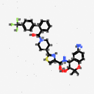 CC1(C)Oc2ccc(N)cc2C(NC(=O)c2csc(C3CCN(C(=O)c4ccccc4-c4ccc(C(F)(F)F)cc4)CC3)n2)C1O